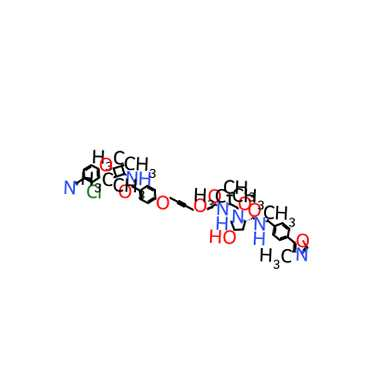 Cc1ncoc1-c1ccc([C@H](C)NC(=O)[C@@H]2C[C@@H](O)CN2C(=O)[C@@H](NC(=O)COCC#CCOc2ccc(C(=O)NC3C(C)(C)C(Oc4ccc(C#N)c(Cl)c4)C3(C)C)cc2)C(C)(C)C)cc1